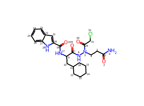 NC(=O)CCN(NC(=O)C(CC1CCCCC1)NC(=O)c1cc2ccccc2[nH]1)C(=O)CCl